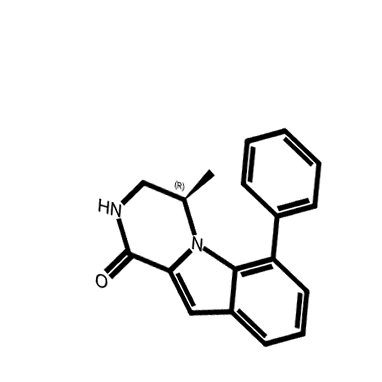 C[C@@H]1CNC(=O)c2cc3cccc(-c4ccccc4)c3n21